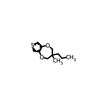 CCCC1(C)COc2cscc2OC1